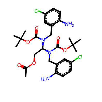 CC(=O)OCC(N(Cc1cc(Cl)ccc1N)C(=O)OC(C)(C)C)N(Cc1cc(Cl)ccc1N)C(=O)OC(C)(C)C